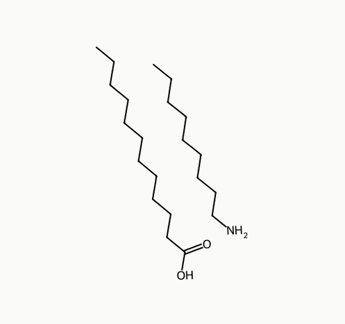 CCCCCCCCCCCC(=O)O.CCCCCCCCCN